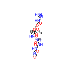 CC[C@@](C)(OC(=O)COCC(=O)NCc1c[nH]nn1)C(=O)[C@H](CC(C)C)NC(=O)CNC(=O)[C@H](CC(C)C)NC(=O)CNC(=O)CN1CCOCC1